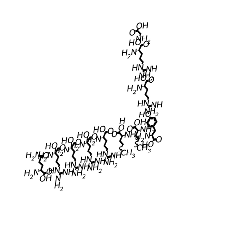 CSCC[C@H](N)C(=O)O.CSCC[C@H](N)C(=O)O.N=C(N)NCCC[C@H](N)C(=O)O.N=C(N)NCCC[C@H](N)C(=O)O.N=C(N)NCCC[C@H](N)C(=O)O.N=C(N)NCCC[C@H](N)C(=O)O.N=C(N)NCCC[C@H](N)C(=O)O.N=C(N)NCCC[C@H](N)C(=O)O.NC(=O)CC[C@H](N)C(=O)O.NCC(=O)O.N[C@@H](Cc1ccc(O)cc1)C(=O)O